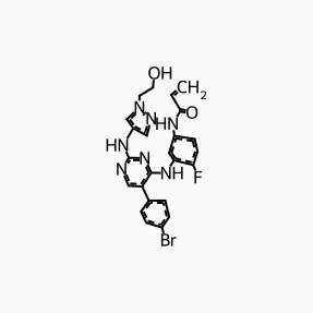 C=CC(=O)Nc1ccc(F)c(Nc2nc(Nc3cnn(CCO)c3)ncc2-c2ccc(Br)cc2)c1